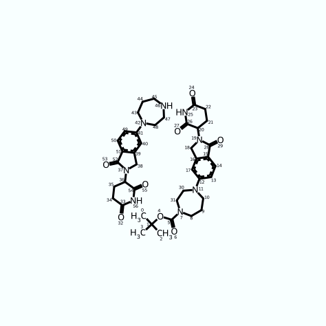 CC(C)(C)OC(=O)N1CCCN(c2ccc3c(c2)CN(C2CCC(=O)NC2=O)C3=O)CC1.O=C1CCC(N2Cc3cc(N4CCCNCC4)ccc3C2=O)C(=O)N1